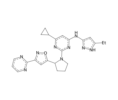 CCc1cc(Nc2cc(C3CC3)nc(N3CCCC3c3cc(-c4ncccn4)no3)n2)n[nH]1